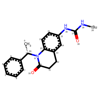 C[C@@H](c1ccccc1)N1C(=O)CCc2cc(NC(=O)NC(C)(C)C)ccc21